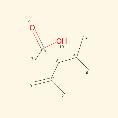 C=C(C)CC(C)C.CC(=O)O